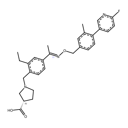 CCc1cc(/C(C)=N/OCc2ccc(-c3ccc(F)nc3)c(C)c2)ccc1CN1CC[C@H](C(=O)O)C1